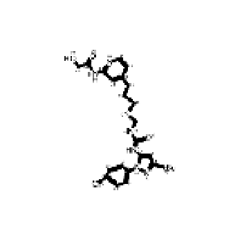 CC(C)(C)c1cc(NC(=O)NCSCCCc2ccnc(NC(=O)CO)c2)n(-c2ccc(Cl)cc2)n1